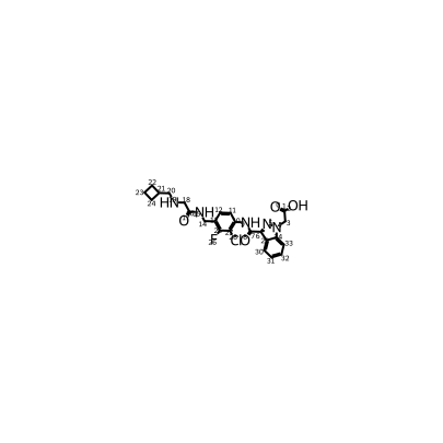 O=C(O)Cn1nc(C(=O)Nc2ccc(CNC(=O)CNCC3CCC3)c(F)c2Cl)c2ccccc21